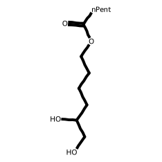 CCCCCC(=O)OCCCCC(O)CO